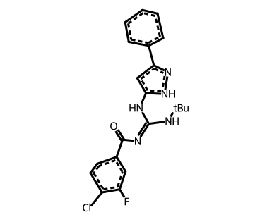 CC(C)(C)N/C(=N/C(=O)c1ccc(Cl)c(F)c1)Nc1cc(-c2ccccc2)n[nH]1